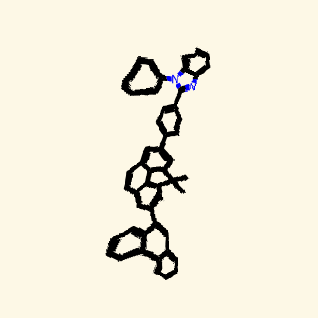 CC1(C)c2cc(-c3ccc(-c4nc5ccccc5n4-c4ccccc4)cc3)cc3ccc4cc(-c5cc6ccccc6c6ccccc56)cc1c4c23